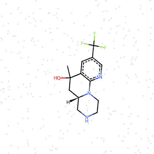 CC1(O)C[C@H]2CNCCN2c2ncc(C(F)(F)F)cc21